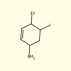 BC1C=CC(CC)C(I)C1